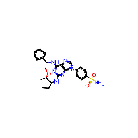 CC[C@H](Nc1nc(NCc2ccccc2)c2ncn(-c3ccc(S(N)(=O)=O)cc3)c2n1)[C@@H](C)OC